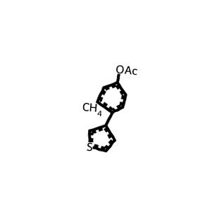 C.CC(=O)Oc1ccc(-c2ccsc2)cc1